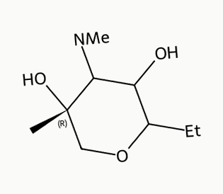 CCC1OC[C@](C)(O)C(NC)C1O